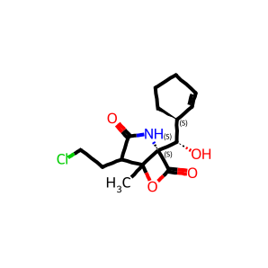 CC12OC(=O)[C@@]1([C@@H](O)[C@@H]1C=CCCC1)NC(=O)C2CCCl